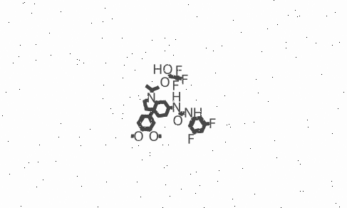 COc1ccc(C23CCC(NC(=O)Nc4cc(F)cc(F)c4)CC2N(C(C)C)CC3)cc1OC.O=C(O)C(F)(F)F